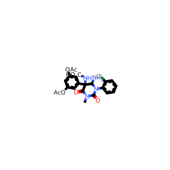 CC(=O)Oc1cc(OC(C)=O)cc(C2(NC(=O)O)C(=O)N(C)C(=O)N(c3ccccc3Cl)C2N)c1